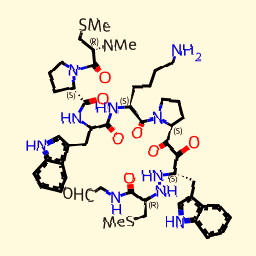 CN[C@@H](CSC)C(=O)N1CCC[C@H]1C(=O)NC(Cc1c[nH]c2ccccc12)C(=O)N[C@@H](CCCCN)C(=O)N1CCC[C@H]1C(=O)C(=O)[C@H](Cc1c[nH]c2ccccc12)NN[C@@H](CSC)C(=O)NCC=O